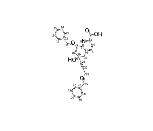 O=C(O)c1ccc2c(n1)C(OCc1ccccc1)=CC(O)(C#CCOCc1ccccc1)C2